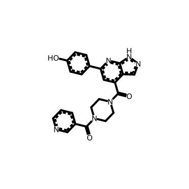 O=C(c1cccnc1)N1CCN(C(=O)c2cc(-c3ccc(O)cc3)nc3[nH]ncc23)CC1